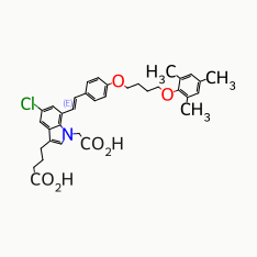 Cc1cc(C)c(OCCCCOc2ccc(/C=C/c3cc(Cl)cc4c(CCCC(=O)O)cn(CC(=O)O)c34)cc2)c(C)c1